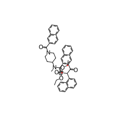 CCOP(=O)(OCC)C(C(=O)c1cc2ccccc2cc1C(=O)N(C)C1CCN(C(=O)c2ccc3ccccc3c2)CC1)c1cccc2ccccc12